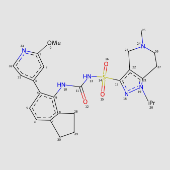 COc1cc(-c2ccc3c(c2NC(=O)NS(=O)(=O)c2nn(C(C)C)c4c2CN(C)CC4)CCC3)ccn1